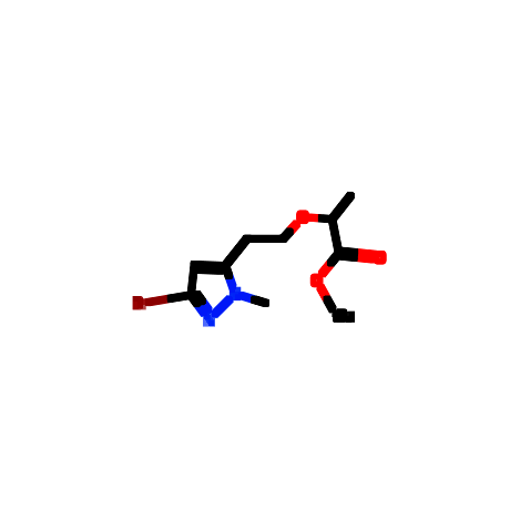 CC(OCCc1cc(Br)nn1C)C(=O)OC(C)(C)C